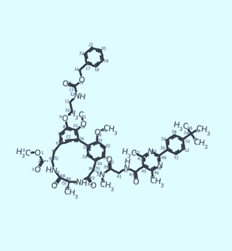 COC(=O)[C@@H]1Cc2cc(OCCNC(=O)OCc3ccccc3)c(OC)c(c2)-c2cc(ccc2OC)[C@H](N(C)C(=O)CNC(=O)c2c(C)nc(-c3ccc(C(C)(C)C)cc3)nc2C)C(=O)N[C@@H](C)C(=O)N1